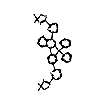 CC1(C)CSC(c2cccc(-c3ccc4c(c3)C(c3ccccc3)(c3ccccc3)c3cc(-c5cccc(C6=NC(C)(C)CS6)n5)c5ccccc5c3-4)n2)=N1